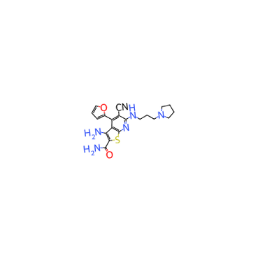 N#Cc1c(NCCCN2CCCC2)nc2sc(C(N)=O)c(N)c2c1-c1ccco1